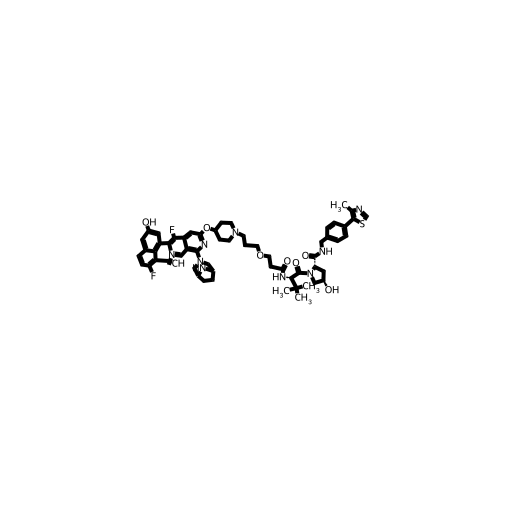 C#Cc1c(F)ccc2cc(O)cc(-c3ncc4c(N5CC6CCC(C5)N6)nc(OC5CCN(CCCOCCC(=O)N[C@H](C(=O)N6C[C@H](O)C[C@H]6C(=O)NCc6ccc(-c7scnc7C)cc6)C(C)(C)C)CC5)cc4c3F)c12